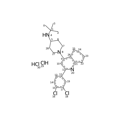 CC(C)(C)NC1CCN(c2cc(-c3ccc(Cl)c(Cl)c3)nc3ccccc23)CC1.Cl.Cl